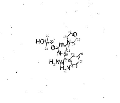 Cc1ccc(N)c(C(=NN)c2cc(N3CCOCC3)nc(OCC(C)(C)O)n2)c1